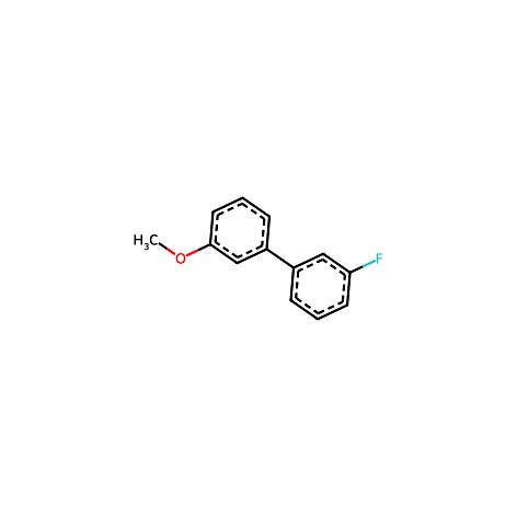 COc1cccc(-c2cccc(F)c2)c1